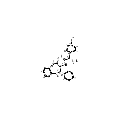 N[C@H](C(=O)NC1C(=O)Nc2ccccc2O[C@H]1c1ccccc1)c1ccc(F)cc1